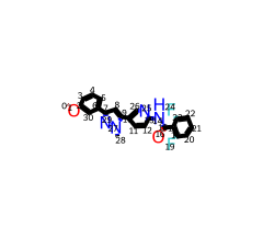 COc1cccc(-c2cc(-c3ccc(NC(=O)c4c(F)cccc4F)nc3)n(C)n2)c1